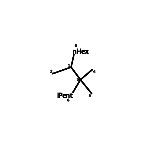 CCCCCCC(C)C(C)(C)C(C)CCC